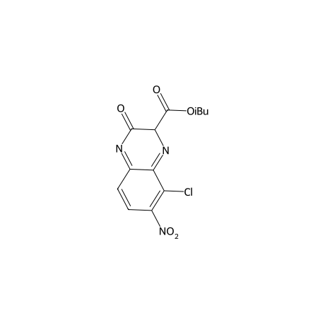 CC(C)COC(=O)C1N=c2c(Cl)c([N+](=O)[O-])ccc2=NC1=O